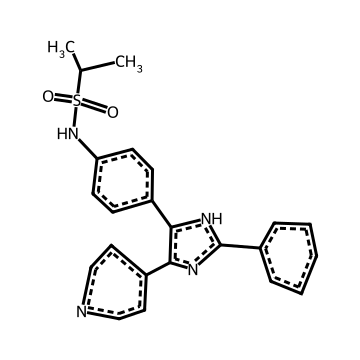 CC(C)S(=O)(=O)Nc1ccc(-c2[nH]c(-c3ccccc3)nc2-c2ccncc2)cc1